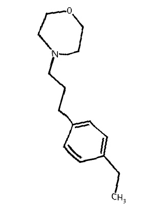 CCc1ccc(CCCN2CCOCC2)cc1